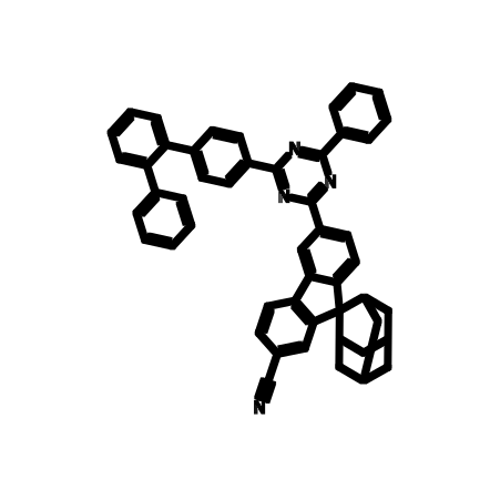 N#Cc1ccc2c(c1)C1(c3ccc(-c4nc(-c5ccccc5)nc(-c5ccc(-c6ccccc6-c6ccccc6)cc5)n4)cc3-2)C2CC3CC(C2)CC1C3